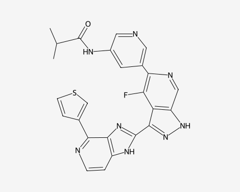 CC(C)C(=O)Nc1cncc(-c2ncc3[nH]nc(-c4nc5c(-c6ccsc6)nccc5[nH]4)c3c2F)c1